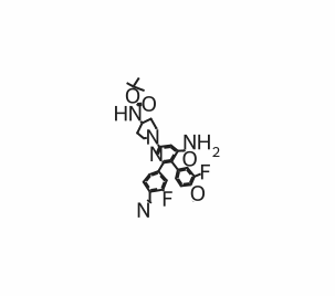 COc1ccc(-c2c(C(N)=O)cc(N3CCC(NC(=O)OC(C)(C)C)CC3)nc2-c2ccc(C#N)c(F)c2)cc1F